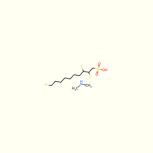 CNC.O=S(=O)(O)CC(F)C(F)CCCCCCCF